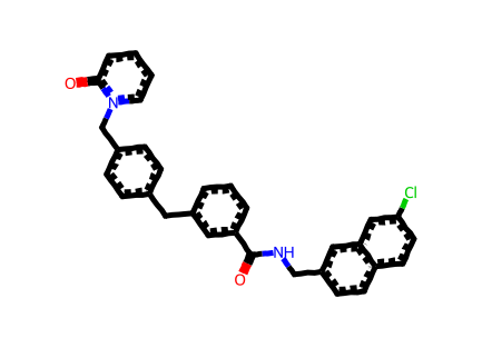 O=C(NCc1ccc2ccc(Cl)cc2c1)c1cccc(Cc2ccc(Cn3ccccc3=O)cc2)c1